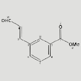 COC(=O)c1cccc(C=CC=O)c1